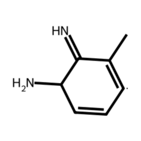 CC1=[C]C=CC(N)C1=N